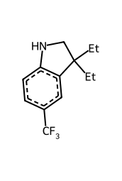 CCC1(CC)CNc2ccc(C(F)(F)F)cc21